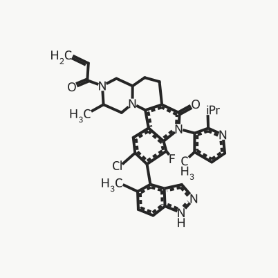 C=CC(=O)N1CC2CCc3c(c4cc(Cl)c(-c5c(C)ccc6[nH]ncc56)c(F)c4n(-c4c(C)ccnc4C(C)C)c3=O)N2CC1C